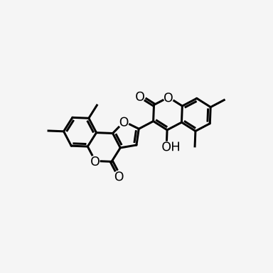 Cc1cc(C)c2c(O)c(-c3cc4c(=O)oc5cc(C)cc(C)c5c4o3)c(=O)oc2c1